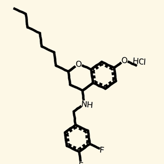 CCCCCCCC1CC(NCc2ccc(F)c(F)c2)c2ccc(OC)cc2O1.Cl